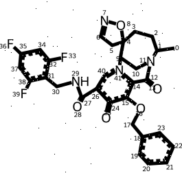 CC1CCC2(CC=NO2)C2CN1C(=O)c1c(OCc3ccccc3)c(=O)c(C(=O)NCc3c(F)cc(F)cc3F)cn12